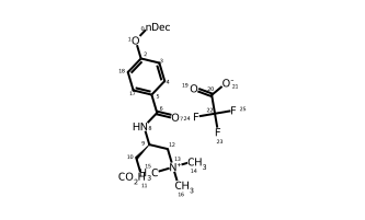 CCCCCCCCCCOc1ccc(C(=O)N[C@H](CC(=O)O)C[N+](C)(C)C)cc1.O=C([O-])C(F)(F)F